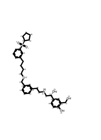 O=S(=O)(c1cccc(CCCCOCc2cccc(CCNC[C@H](O)c3ccc(O)c(CO)c3)c2)c1)C1CCCC1